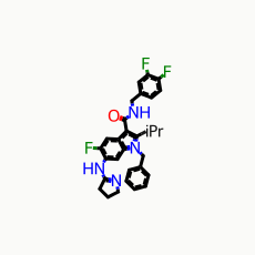 CC(C)c1c(C(=O)NCc2ccc(F)c(F)c2)c2cc(F)c(NC3=NCCC3)cc2n1Cc1ccccc1